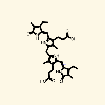 CCC1=C(C)C(=O)N/C1=C\c1[nH]c(Cc2[nH]c(/C=C3\NC(=O)C(C)=C3CC)c(CCC(=O)O)c2C)c(C)c1CCC(=O)O